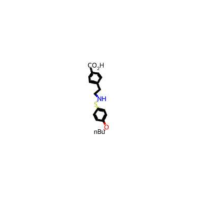 CCCCOc1ccc(SNCCc2ccc(C(=O)O)cc2)cc1